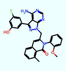 COc1ccccc1-n1c(Cn2nc(-c3cc(O)cc(F)c3)c3c(N)ncnc32)cc2cccc(C)c2c1=O